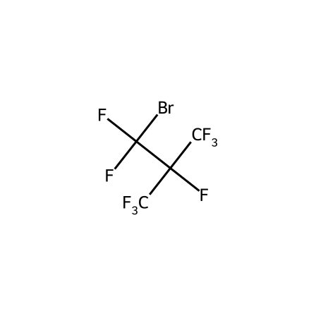 FC(F)(F)C(F)(C(F)(F)F)C(F)(F)Br